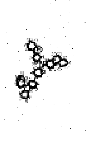 c1ccc2c(c1)-c1ccc(-c3ccc(N(c4ccc5c(ccc6ccccc65)c4)c4ccc5c(c4)oc4ccccc45)cc3)cc1C21C2CC3CC(C2)CC1C3